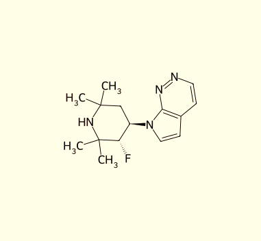 CC1(C)C[C@@H](n2ccc3ccnnc32)[C@H](F)C(C)(C)N1